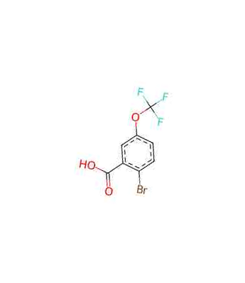 O=C(O)c1cc(OC(F)(F)F)ccc1Br